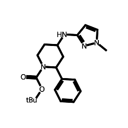 Cn1ccc(NC2CCN(C(=O)OC(C)(C)C)C(c3ccccc3)C2)n1